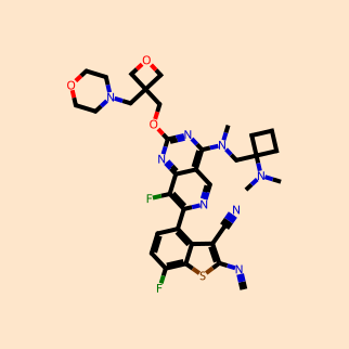 C=Nc1sc2c(F)ccc(-c3ncc4c(N(C)CC5(N(C)C)CCC5)nc(OCC5(CN6CCOCC6)COC5)nc4c3F)c2c1C#N